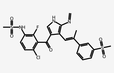 C=Nc1[nH]cc(C(=O)c2c(Cl)ccc(NS(C)(=O)=O)c2F)c1/C=C(\C)c1cccc(S(C)(=O)=O)c1